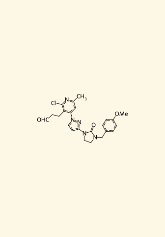 COc1ccc(CN2CCN(c3ccn(-c4cc(C)nc(Cl)c4CCC=O)n3)C2=O)cc1